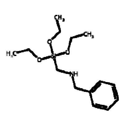 CCO[Si](CNCc1ccccc1)(OCC)OCC